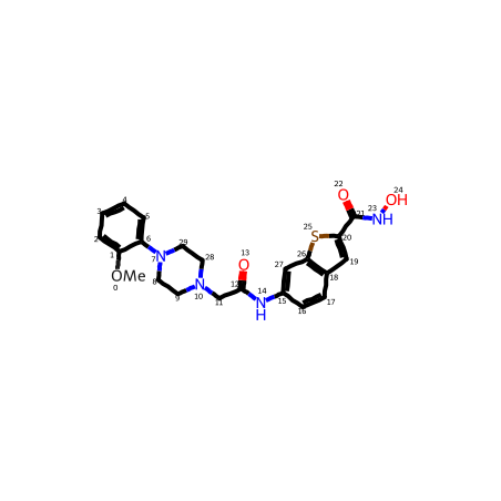 COc1ccccc1N1CCN(CC(=O)Nc2ccc3cc(C(=O)NO)sc3c2)CC1